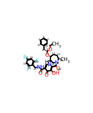 CCO[C@H](Cc1ccccc1)O[C@@H]1CC[C@H](C)N2C[C@H]1n1cc(C(=O)NCc3c(F)cc(F)cc3F)c(=O)c(O)c1C2=O